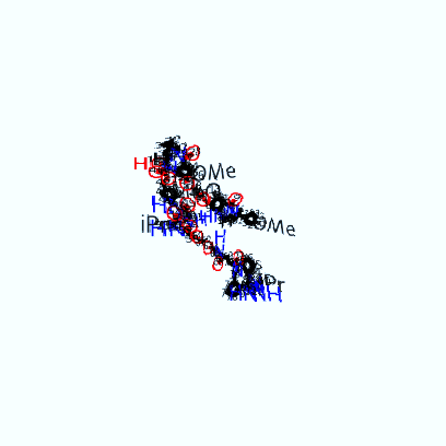 COc1ccc(C2=CN3C(=O)c4cc(OC)c(OCCCOc5cc6c(cc5OC)C(=O)N5CC7(CC7)C[C@H]5C(O)N6C(=O)OCc5ccc(NC(=O)[C@H](C)NC(=O)[C@@H](NC(=O)COCCOCCNC(=O)CCC(=O)N6Cc7ccccc7C7=C(c8ccccc86)N(C(C)C)NN7)C(C)C)cc5)cc4NC[C@@H]3C2)cc1